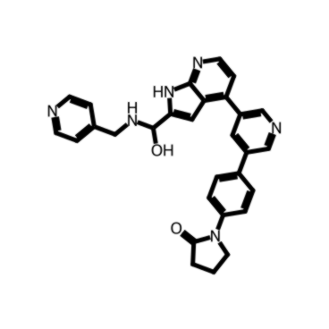 O=C1CCCN1c1ccc(-c2cncc(-c3ccnc4[nH]c(C(O)NCc5ccncc5)cc34)c2)cc1